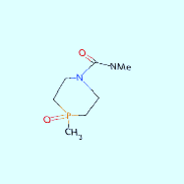 CNC(=O)N1CCP(C)(=O)CC1